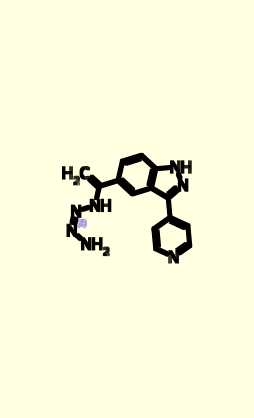 C=C(N/N=N\N)c1ccc2[nH]nc(-c3ccncc3)c2c1